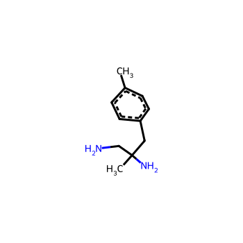 Cc1ccc(CC(C)(N)CN)cc1